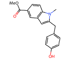 COC(=O)c1ccc2c(c1)cc(Cc1ccc(O)cc1)n2C